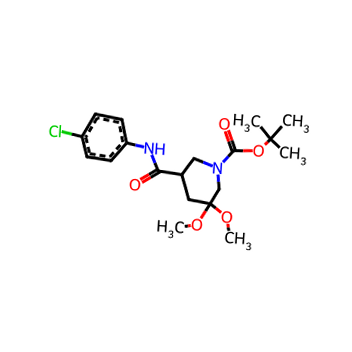 COC1(OC)CC(C(=O)Nc2ccc(Cl)cc2)CN(C(=O)OC(C)(C)C)C1